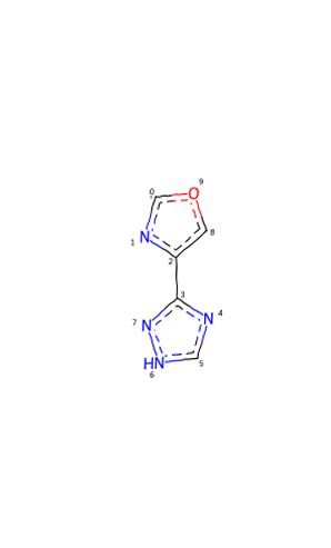 [c]1nc(-c2nc[nH]n2)co1